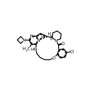 Cc1c(N2CCC2)nc2cc3nn2c1NCCCCOc1ccc(Cl)cc1C(=O)N1CCCC[C@@H]31